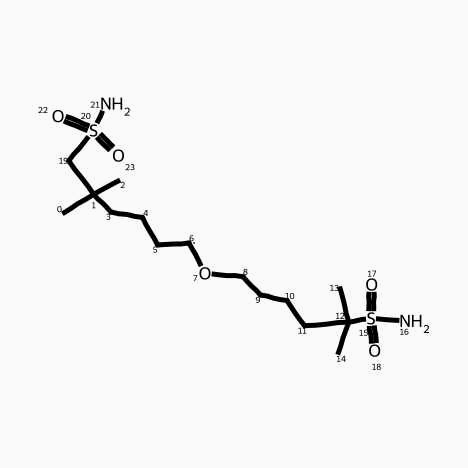 CC(C)(CCC[CH]OCCCCC(C)(C)S(N)(=O)=O)CS(N)(=O)=O